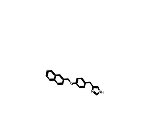 c1ccc2cc(COc3ccc(Cc4c[nH]cn4)cc3)ccc2c1